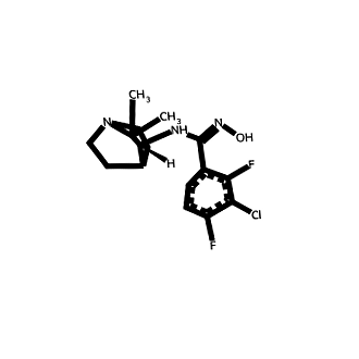 CC1(C)[C@H](N/C(=N/O)c2ccc(F)c(Cl)c2F)C2CCN1CC2